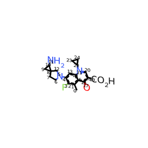 Cc1c(F)c(N2CCC3(CC3N)C2)cc2c1c(=O)c(C(=O)O)cn2C1CC1